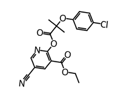 CCOC(=O)c1cc(C#N)cnc1OC(=O)C(C)(C)Oc1ccc(Cl)cc1